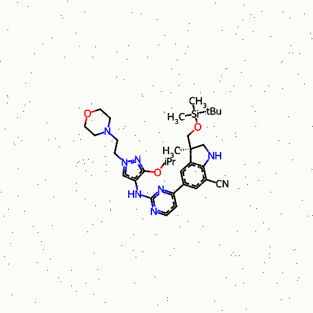 CC(C)Oc1nn(CCN2CCOCC2)cc1Nc1nccc(-c2cc(C#N)c3c(c2)[C@@](C)(CO[Si](C)(C)C(C)(C)C)CN3)n1